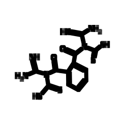 N=C(N)N(C(=O)c1ccccc1C(=O)N(C(=N)N)C(=S)S)C(=S)S